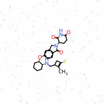 CC1=C(F)CC1CN[C@H]1CCCC[C@H]1Oc1ccc2c(c1)CN(C1CCC(=O)NC1=O)C2=O